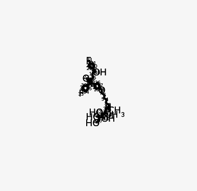 CN(CCCCCCOc1ccc(C2C(CCC(O)c3ccc(F)cc3)C(=O)N2c2ccc(F)cc2)cc1)CC(O)C(O)C(O)C(O)CO